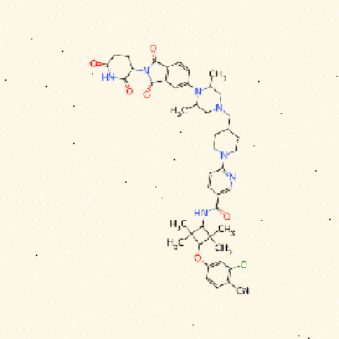 CC1CN(CC2CCN(c3ccc(C(=O)NC4C(C)(C)C(Oc5ccc(C#N)c(Cl)c5)C4(C)C)cn3)CC2)CC(C)N1c1ccc2c(c1)C(=O)N(C1CCC(=O)NC1=O)C2=O